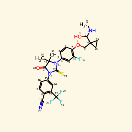 CNC(O)C1(COc2ccc(N3C(=S)N(c4ccc(C#N)c(C(F)(F)F)c4)C(=O)C3(C)C)cc2F)CC1